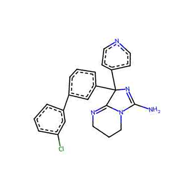 NC1=NC(c2ccncc2)(c2cccc(-c3cccc(Cl)c3)c2)C2=NCCCN12